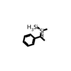 CC(c1ccccc1)[SiH](C)[SiH3]